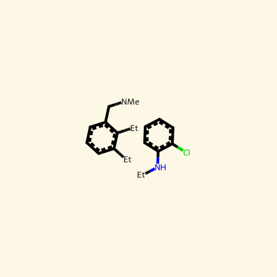 CCNc1ccccc1Cl.CCc1cccc(CNC)c1CC